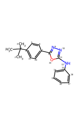 CC(C)(C)c1ccc(-c2nnc(Nc3ccccc3)o2)cc1